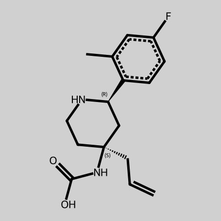 C=CC[C@]1(NC(=O)O)CCN[C@@H](c2ccc(F)cc2C)C1